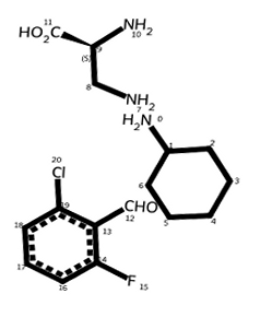 NC1CCCCC1.NC[C@H](N)C(=O)O.O=Cc1c(F)cccc1Cl